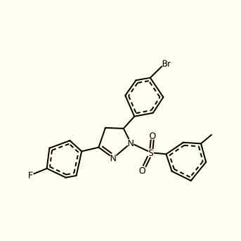 Cc1cccc(S(=O)(=O)N2N=C(c3ccc(F)cc3)CC2c2ccc(Br)cc2)c1